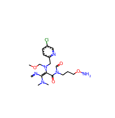 C=N/C(=C(/C(=O)N(C=O)CCCON)N(COC)Cc1ccc(Cl)cn1)N(C)C